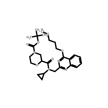 COCCCOc1nc(CN(C(=O)C2CN(C(=O)OC(C)(C)C)CCO2)C2CC2)nc2ccccc12